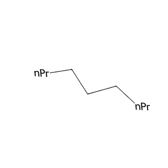 C[CH]CCCCCCC